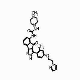 Cc1cc(OCCn2cccn2)ccc1-c1[nH]nc2c1C(=O)c1c(NC(=O)NN3CCN(C)CC3)cccc1-2